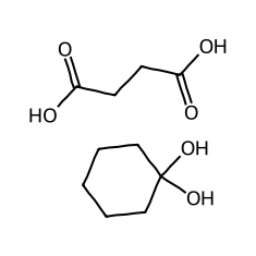 O=C(O)CCC(=O)O.OC1(O)CCCCC1